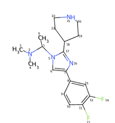 CC(N(C)C)n1cc(-c2ccc(F)c(F)c2)nc1C1CCNCC1